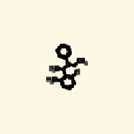 CCN(c1ccccc1)C(C)c1c(C)cccc1Cl